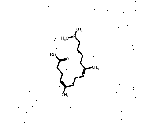 CC(=CCCC(=O)O)CCC=C(C)CCCCN(C)C